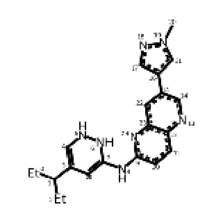 CCC(CC)C1=CNNC(Nc2ccc3ncc(-c4cnn(C)c4)cc3n2)=C1